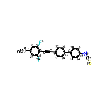 CCCCc1cc(F)c(C#Cc2ccc(-c3ccc(N=C=S)cc3)cc2)c(F)c1